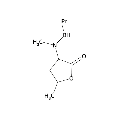 CC(C)BN(C)C1CC(C)OC1=O